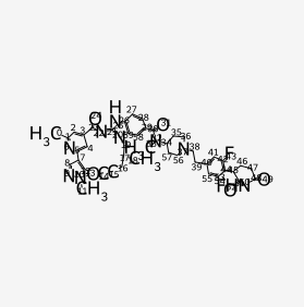 Cc1cc2cc(n1)-c1cnn(C)c1OCCC[C@@H](C)CN1/C(=N/C2=O)Nc2ccc(C(=O)N(C)C3CCN(CCc4cc(F)c([C@H]5CCC(=O)NC5=O)c(F)c4)CC3)cc21